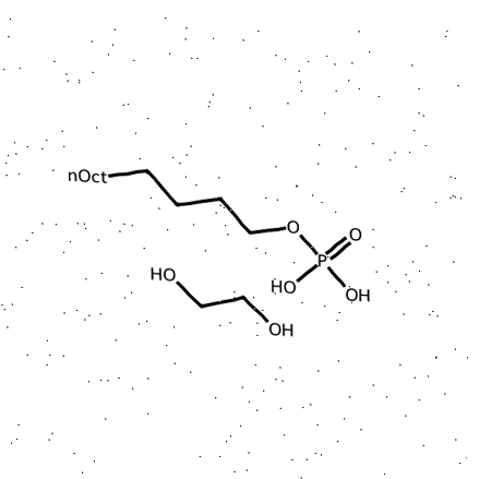 CCCCCCCCCCCCOP(=O)(O)O.OCCO